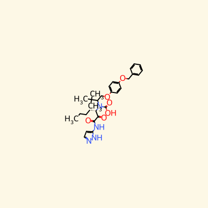 CCCC[C@@H](C(=O)C(=O)Nc1ccn[nH]1)N(C(=O)O)C(COc1ccc(OCc2ccccc2)cc1)C(C)(C)C